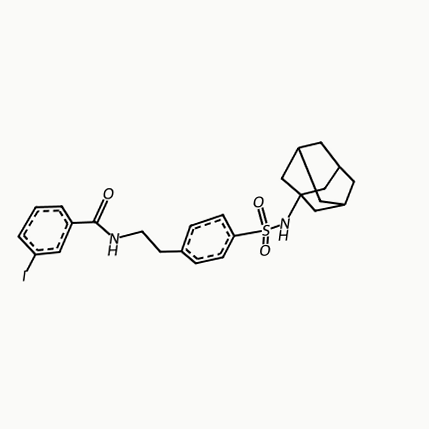 O=C(NCCc1ccc(S(=O)(=O)NC23CC4CC(CC(C4)C2)C3)cc1)c1cccc(I)c1